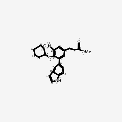 COC(=O)CCc1cc(-c2ccc3[nH]ccc3c2)c(OC2CCCCC2)c([N+](=O)[O-])c1